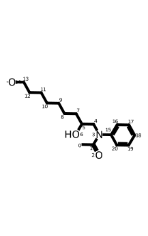 CC(=O)N(CC(O)CCCCCCC[O])c1ccccc1